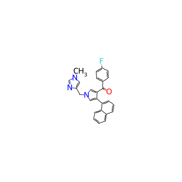 Cn1cnc(Cn2cc(C(=O)c3ccc(F)cc3)c(-c3cccc4ccccc34)c2)c1